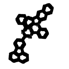 c1ccc(-c2nc(-c3ccc4c(c3)-c3cccc5cccc-4c35)nc(-c3ccccc3-n3c4ccccc4c4cc5ccccc5cc43)n2)cc1